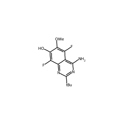 COc1c(O)c(F)c2nc(C(C)(C)C)nc(N)c2c1F